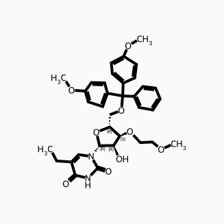 CCc1cn([C@@H]2O[C@H](COC(c3ccccc3)(c3ccc(OC)cc3)c3ccc(OC)cc3)[C@@H](OCCOC)[C@H]2O)c(=O)[nH]c1=O